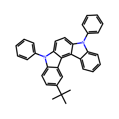 CC(C)(C)c1ccc2c(c1)c1c3c4ccccc4n(-c4ccccc4)c3ccc1n2-c1ccccc1